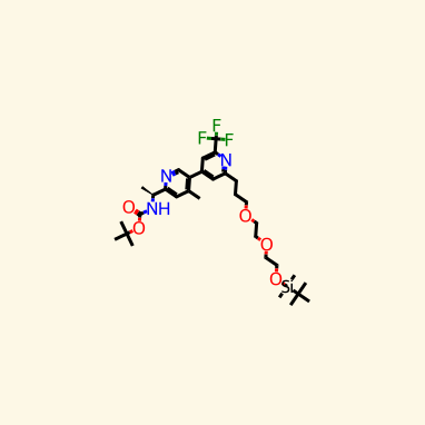 Cc1cc([C@H](C)NC(=O)OC(C)(C)C)ncc1-c1cc(CCCOCCOCCO[Si](C)(C)C(C)(C)C)nc(C(F)(F)F)c1